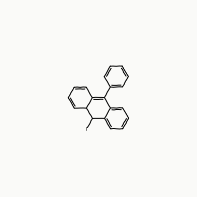 IC1c2ccccc2C(c2ccccc2)=C2C=CC=CC21